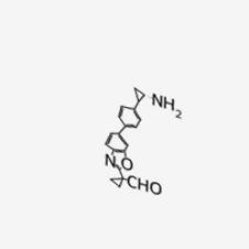 N[C@H]1CC1c1ccc(-c2ccc3nc(C4(C=O)CC4)oc3c2)cc1